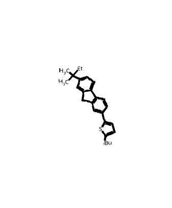 CCC(C)c1ccc(-c2ccc3c(c2)Cc2cc(C(C)(C)CC)ccc2-3)s1